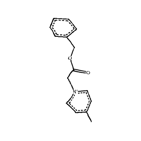 Cc1cc[n+](CC(=O)OCc2ccccc2)cc1